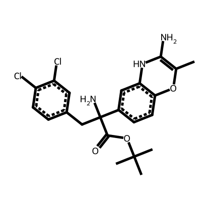 CC1=C(N)Nc2cc(C(N)(Cc3ccc(Cl)c(Cl)c3)C(=O)OC(C)(C)C)ccc2O1